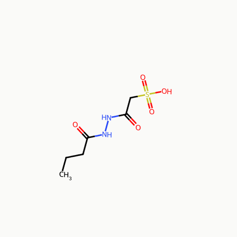 CCCC(=O)NNC(=O)CS(=O)(=O)O